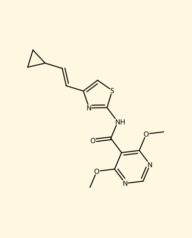 COc1ncnc(OC)c1C(=O)Nc1nc(/C=C/C2CC2)cs1